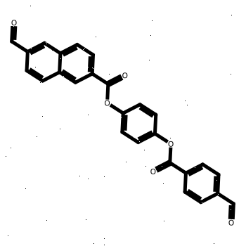 O=Cc1ccc(C(=O)Oc2ccc(OC(=O)c3ccc4cc(C=O)ccc4c3)cc2)cc1